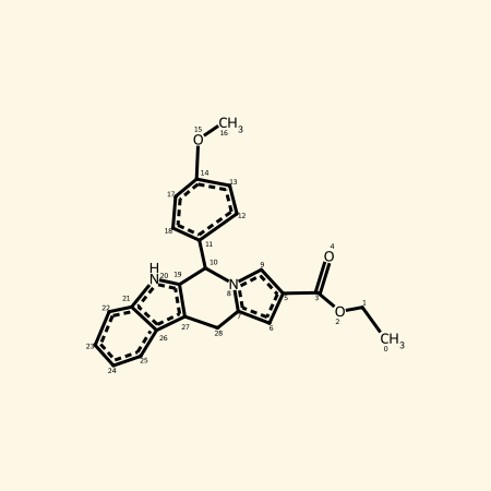 CCOC(=O)c1cc2n(c1)C(c1ccc(OC)cc1)c1[nH]c3ccccc3c1C2